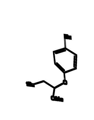 CCC(C)c1ccc(OC(CC(C)(C)C)OC)cc1